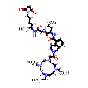 CSCCC(NC(=O)c1cccc2c1CCN(C(=O)CN1CCN(CC(=O)O)CCN(CC(=O)O)CCN(CC(=O)O)CC1)C2)C(=O)NCC(=O)NC(CCCCN1C(=O)C=CC1=O)C(=O)O